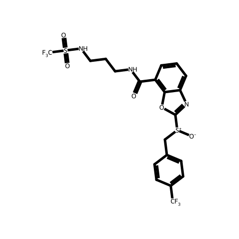 O=C(NCCCNS(=O)(=O)C(F)(F)F)c1cccc2nc([S+]([O-])Cc3ccc(C(F)(F)F)cc3)oc12